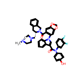 CN1CCN(C[C@@H]2Cc3ccccc3CN2C(=O)c2cc3c(cc2-n2cc(C(=O)N(c4ccc(O)cc4)c4ccc(F)c(F)c4)c4ccccc42)OCO3)CC1